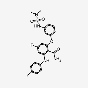 CN(C)S(=O)(=O)Nc1cccc(Oc2cc(F)cc(Nc3ccc(I)cc3)c2C(N)=O)c1